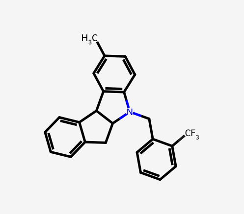 Cc1ccc2c(c1)C1c3ccccc3CC1N2Cc1ccccc1C(F)(F)F